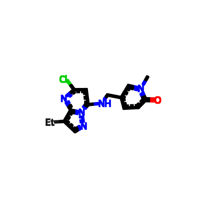 CCc1cnn2c(NCc3ccc(=O)n(C)c3)cc(Cl)nc12